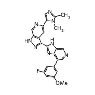 COc1cc(F)cc(-c2cncc3[nH]c(-c4n[nH]c5cnc(-c6cnc(C)n6C)cc45)nc23)c1